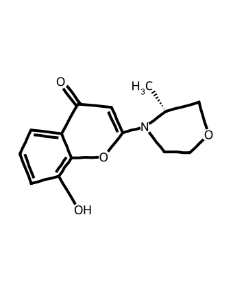 C[C@@H]1COCCN1c1cc(=O)c2cccc(O)c2o1